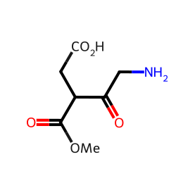 COC(=O)C(CC(=O)O)C(=O)CN